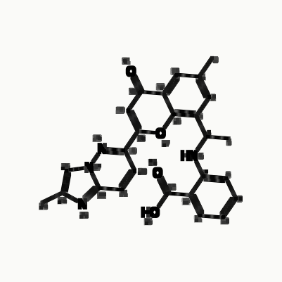 Cc1cc(C(C)Nc2ccccc2C(=O)O)c2oc(-c3ccc4nc(C)cn4n3)cc(=O)c2c1